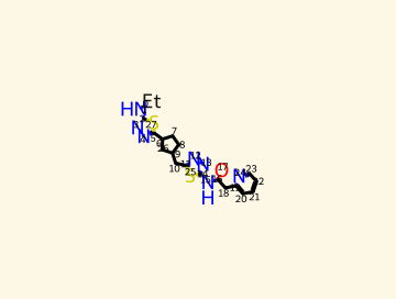 CCNc1nnc(C2CCC(Cc3nnc(NC(=O)Cc4ccccn4)s3)C2)s1